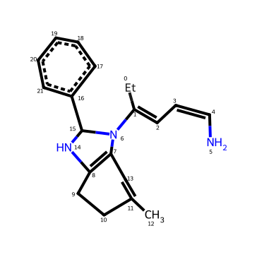 CC/C(=C\C=C/N)N1C2=C(CCC(C)=C2)NC1c1ccccc1